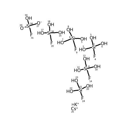 O[Si](O)(O)F.O[Si](O)(O)F.O[Si](O)(O)F.O[Si](O)(O)F.O[Si](O)(O)F.[Cs+].[K+].[O-][Si]([O-])(O)F